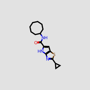 O=C(NC1CCCCCCC1)c1cc2sc(C3CC3)nc2[nH]1